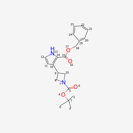 CC(C)(C)OC(=O)N1CC(c2cc[nH]c2C(=O)OCc2ccccc2)C1